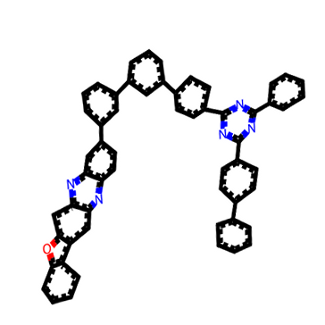 c1ccc(-c2ccc(-c3nc(-c4ccccc4)nc(-c4ccc(-c5cccc(-c6cccc(-c7ccc8nc9cc%10c(cc9nc8c7)oc7ccccc7%10)c6)c5)cc4)n3)cc2)cc1